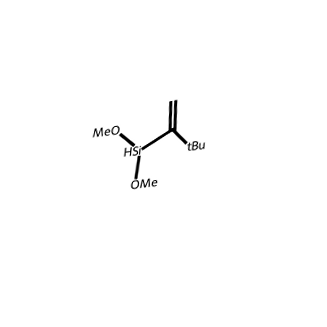 C=C([SiH](OC)OC)C(C)(C)C